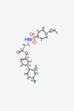 Cc1ccc(S(=O)(=O)NCCC(=O)Oc2cc(-c3ccc(F)cc3F)cs2)cc1